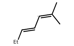 CCC=C[C]=C(C)C